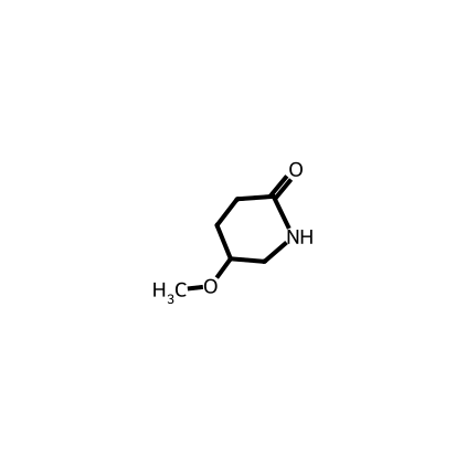 COC1CCC(=O)NC1